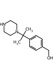 CC(C)(c1ccc(CO)cc1)N1CCNCC1